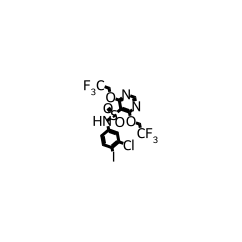 O=S(=O)(Nc1ccc(I)c(Cl)c1)c1c(OCC(F)(F)F)ncnc1OCC(F)(F)F